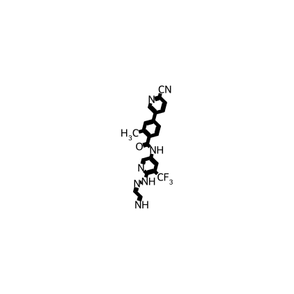 Cc1cc(-c2ccc(C#N)nc2)ccc1C(=O)Nc1cnc(N/N=C\C=N)c(C(F)(F)F)c1